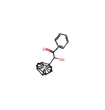 O=C(c1ccccc1)C(O)[C]12[CH]3[CH]4[CH]5[CH]1[Fe]45321678[CH]2[CH]1[CH]6[CH]7[CH]28